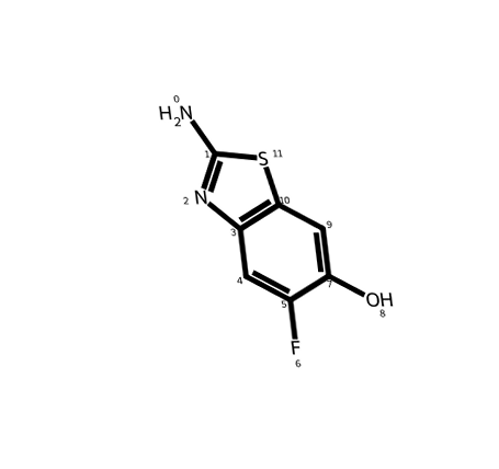 Nc1nc2cc(F)c(O)cc2s1